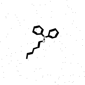 CC=CCC=COP(c1ccccc1)c1ccccc1